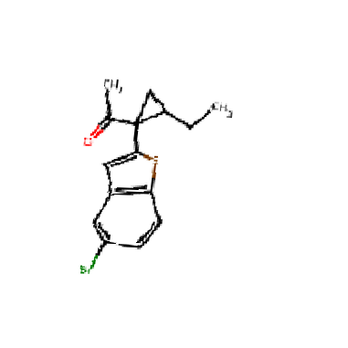 CCC1CC1(C(C)=O)c1cc2cc(Br)ccc2s1